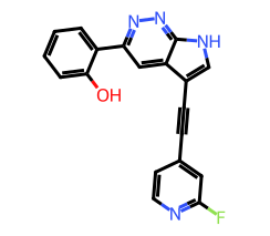 Oc1ccccc1-c1cc2c(C#Cc3ccnc(F)c3)c[nH]c2nn1